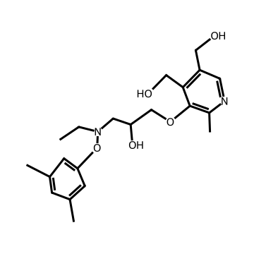 CCN(CC(O)COc1c(C)ncc(CO)c1CO)Oc1cc(C)cc(C)c1